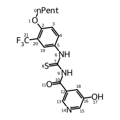 CCCCCOc1ccc(NC(=S)NC(=O)c2cncc(O)c2)cc1C(F)(F)F